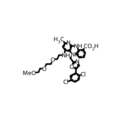 COCCOCCOCCNc1cc(C)nc(Nc2ccccc2C(=O)O)c1NCc1ncc(-c2cc(Cl)ccc2Cl)o1